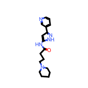 O=C(CCCN1CCCCC1)Nc1cc(-c2cccnc2)n[nH]1